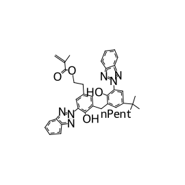 C=C(C)C(=O)OCCc1cc(Cc2cc(C(C)(C)CCCCC)cc(-n3nc4ccccc4n3)c2O)c(O)c(-n2nc3ccccc3n2)c1